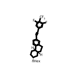 CCCCCC[C@@H]1CC[C@@H]2c3ccc(C#Cc4cc(F)c(C(F)(F)F)c(F)c4)cc3CC[C@@H]2C1